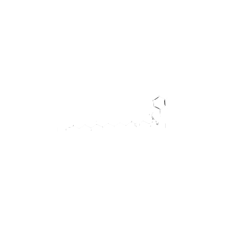 CCCCCCCCCCCCOCC[N+](C)(C)Cc1ccccc1